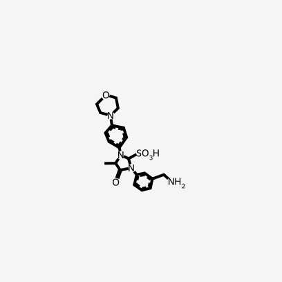 CC1C(=O)N(c2cccc(CN)c2)C(S(=O)(=O)O)N1c1ccc(N2CCOCC2)cc1